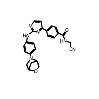 N#CCNC(=O)c1ccc(-c2ccnc(Nc3ccc(N4CC5CC4CO5)cc3)n2)cc1